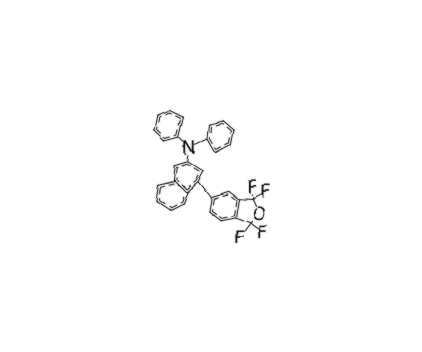 FC1(F)OC(F)(F)c2cc(-c3cc(N(c4ccccc4)c4ccccc4)cc4ccccc34)ccc21